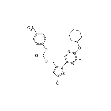 Cc1nc(-c2sc(Cl)cc2COC(=O)Oc2ccc([N+](=O)[O-])cc2)cnc1OC1CCCCC1